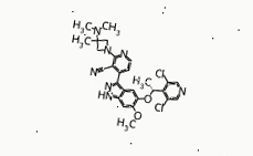 COc1cc2[nH]nc(-c3ccnc(N4CC(C)(N(C)C)C4)c3C#N)c2cc1O[C@H](C)c1c(Cl)cncc1Cl